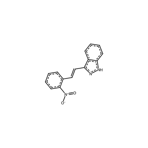 O=[N+]([O-])c1ccccc1C=Cc1n[nH]c2ccccc12